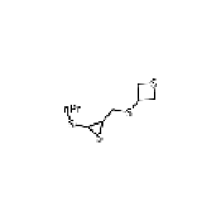 CCCSC1SC1CSC1CSC1